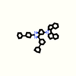 c1ccc(-c2ccc(-c3nc(-c4cccc(-c5ccccc5)c4)c4cc(-n5c6ccc7ccccc7c6c6c7ccccc7ccc65)ccc4n3)cc2)cc1